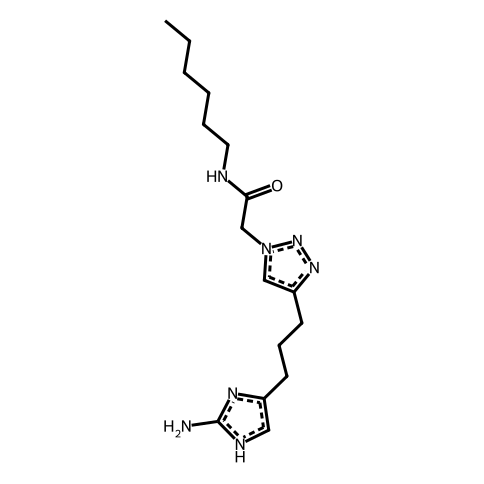 CCCCCCNC(=O)Cn1cc(CCCc2c[nH]c(N)n2)nn1